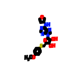 COc1ccc(SC[C@H]2O[C@@H](n3cnc4c(N[C@@H]5CCOC5)ncnc43)[C@@H](O)[C@H]2O)cc1